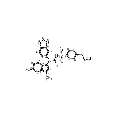 Cn1cc(C(C(=O)NS(=O)(=O)c2ccc(CC(=O)O)cc2)c2ccc3c(c2)OCO3)c2ccc(Cl)cc21